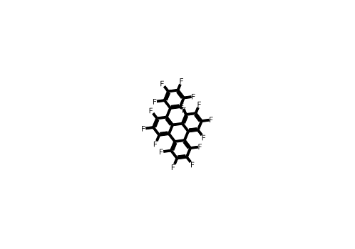 Fc1c(F)c(F)c(-c2c(F)c(F)c(F)c3c4c(F)c(F)c(F)c(F)c4c4c(F)c(F)c(F)c(F)c4c23)c(F)c1F